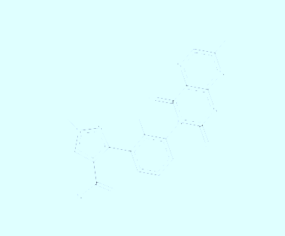 Cn1cc(C(N)=O)c(-c2cccc(-n3c(=O)[nH]c4nc(Cl)cnc4c3=O)c2Cl)n1